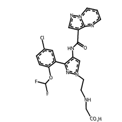 O=C(O)CNCCn1cc(NC(=O)c2cnn3cccnc23)c(-c2cc(Cl)ccc2OC(F)F)n1